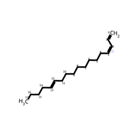 C=C/C=C\CCCCCCCCC=CCCCC